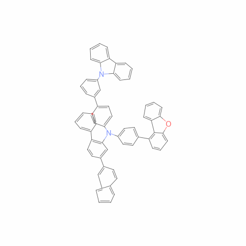 c1ccc(-c2ccc(-c3ccc4ccccc4c3)cc2N(c2ccc(-c3cccc(-n4c5ccccc5c5ccccc54)c3)cc2)c2ccc(-c3cccc4oc5ccccc5c34)cc2)cc1